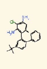 Cc1cc(N)c(Cl)c(N)c1-c1cc(C(C)(C)C)ccc1-c1ccccc1